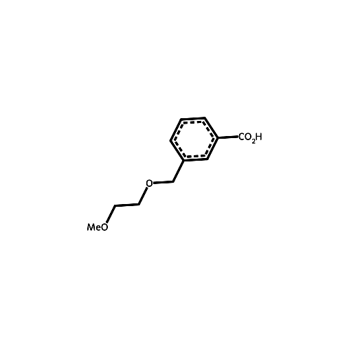 COCCOCc1cccc(C(=O)O)c1